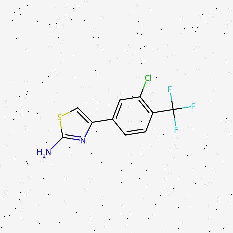 Nc1nc(-c2ccc(C(F)(F)F)c(Cl)c2)cs1